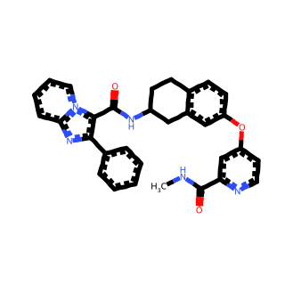 CNC(=O)c1cc(Oc2ccc3c(c2)CC(NC(=O)c2c(-c4ccccc4)nc4ccccn24)CC3)ccn1